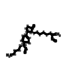 C=C(CCCCCC[C@H]1C(=O)CC[C@@H]1c1ccc([C@@H](CCCCC)N=O)cc1)N=O